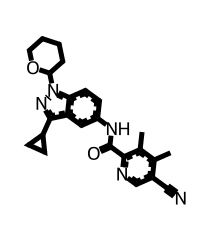 Cc1c(C#N)cnc(C(=O)Nc2ccc3c(c2)c(C2CC2)nn3C2CCCCO2)c1C